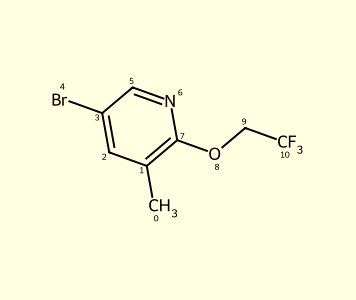 Cc1cc(Br)cnc1OCC(F)(F)F